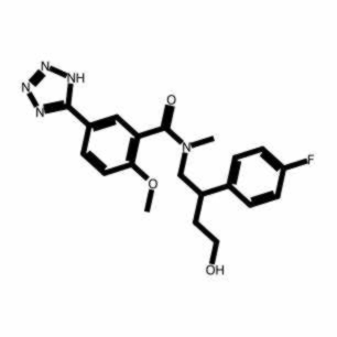 COc1ccc(-c2nnn[nH]2)cc1C(=O)N(C)CC(CCO)c1ccc(F)cc1